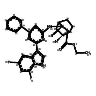 CCOC(=O)[C@@H]1C2CCC(CC2)[C@H]1Nc1cc(-c2ccccc2)nc(-c2c[nH]c3c(F)cc(F)cc23)n1